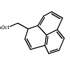 CCCCCCCCCC1C=Cc2cccc3cccc1c23